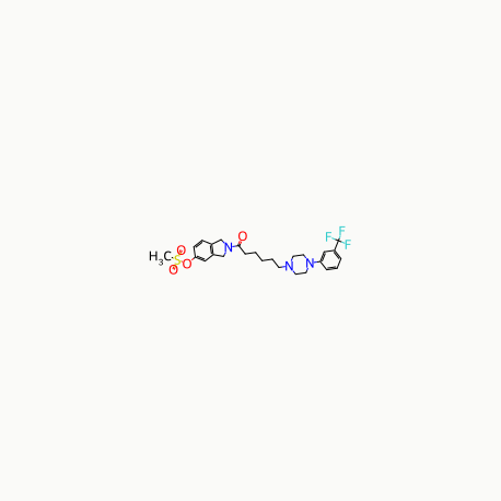 CS(=O)(=O)Oc1ccc2c(c1)CN(C(=O)CCCCCN1CCN(c3cccc(C(F)(F)F)c3)CC1)C2